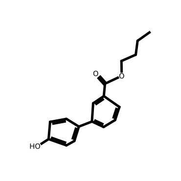 CCCCOC(=O)c1cccc(-c2ccc(O)cc2)c1